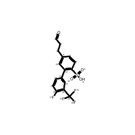 O=CCCc1ccc(S(=O)(=O)O)c(-c2ccc(F)c(C(F)(F)F)c2)c1